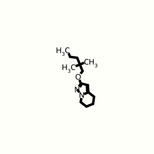 CCCC(C)(C)COc1cc2n(n1)CCCC2